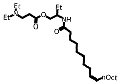 CCCCCCCC/C=C\CCCCCCCC(=O)NC(CC)COC(=O)CCN(CC)CC